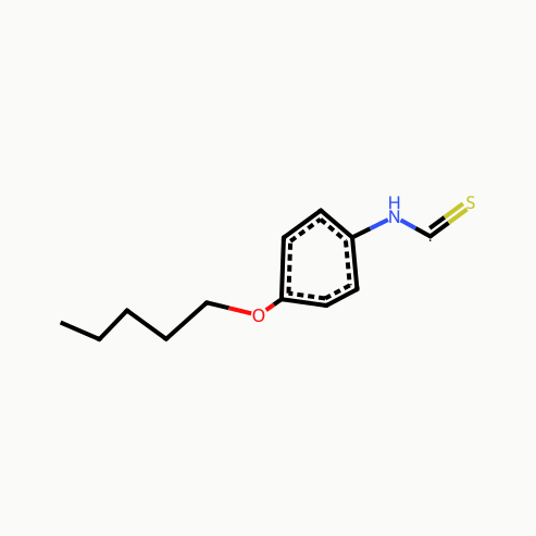 CCCCCOc1ccc(N[C]=S)cc1